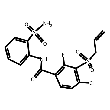 C=CCS(=O)(=O)c1c(Cl)ccc(C(=O)Nc2ccccc2S(N)(=O)=O)c1F